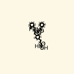 O=C(C=Cc1ccc(CN(CCc2ccccc2F)C(=O)NC(=O)c2ccccc2)cc1)NO